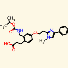 CC(C)OC(=O)NCc1cc(OCCc2nc(-c3ccccc3)cn2C)ccc1CCC(=O)O